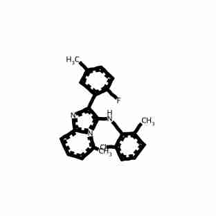 Cc1ccc(F)c(-c2nc3cccc(C)n3c2Nc2c(C)cccc2Cl)c1